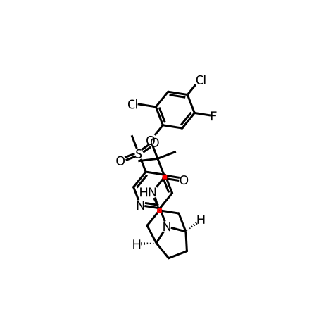 CC(C)(Oc1cc(F)c(Cl)cc1Cl)C(=O)N[C@H]1C[C@H]2CC[C@@H](C1)N2c1ccc(S(C)(=O)=O)cn1